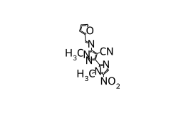 Cn1nc(-c2ncc([N+](=O)[O-])n2C)c(C#N)c1N=Cc1ccco1